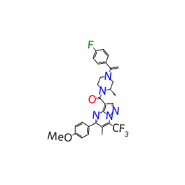 C=C(c1ccc(F)cc1)N1CCN(C(=O)c2cnn3c(C(F)(F)F)c(C)c(-c4ccc(OC)cc4)nc23)[C@H](C)C1